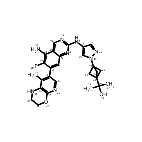 Cc1c(-c2cc3nc(Nc4cnn(C56CC(C(C)(C)O)(C5)C6)c4)ncc3c(N)c2F)cnc2c1NCCO2